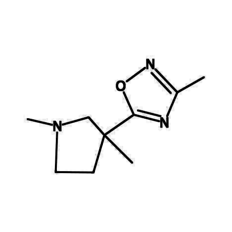 Cc1noc(C2(C)CCN(C)C2)n1